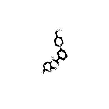 O=C1CCC(NC(=O)c2cccc(N3CCC(CO)CC3)c2)C(=O)N1